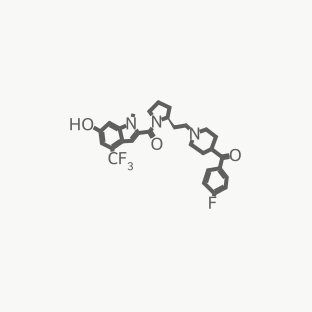 Cn1c(C(=O)N2CCC[C@H]2CCN2CCC(C(=O)c3ccc(F)cc3)CC2)cc2c(C(F)(F)F)cc(O)cc21